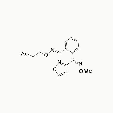 CON=C(c1ccon1)c1ccccc1C=NOCCC(C)=O